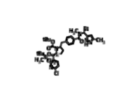 CCC(c1cc(C)n[nH]1)N(C)C(=O)c1ccc(CC2CC[C@H]([C@H](O[Si](C)(C)C(C)(C)C)c3ccc(Cl)nc3)N2C(=O)OC(C)(C)C)cc1